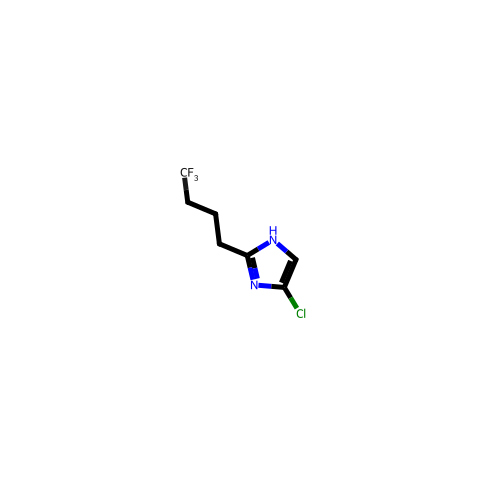 FC(F)(F)CCCc1nc(Cl)c[nH]1